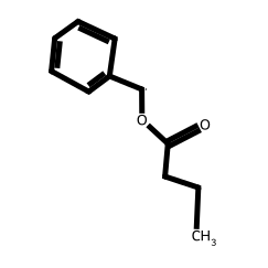 CCCC(=O)O[CH]c1ccccc1